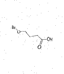 O=C(O)CCCOBr